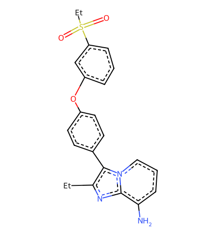 CCc1nc2c(N)cccn2c1-c1ccc(Oc2cccc(S(=O)(=O)CC)c2)cc1